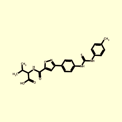 Cc1ccc(NC(=S)Nc2ccc(-c3cc(C(=O)NC(C(=O)O)C(C)C)on3)cc2)cc1